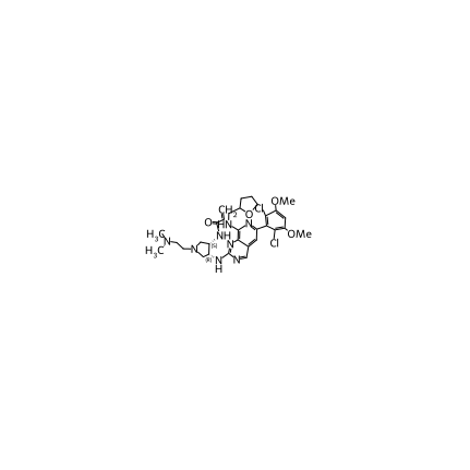 C=CC(=O)N[C@H]1CN(CCN(C)C)C[C@H]1Nc1ncc2cc(-c3c(Cl)c(OC)cc(OC)c3Cl)nc(NCC3CCCO3)c2n1